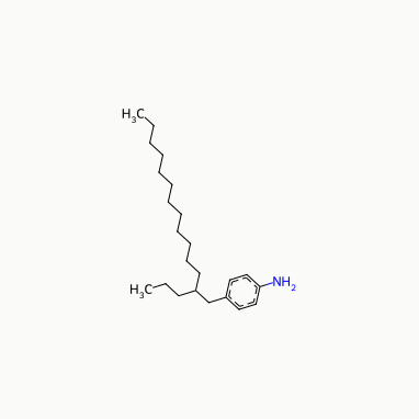 CCCCCCCCCCCCC(CCC)Cc1ccc(N)cc1